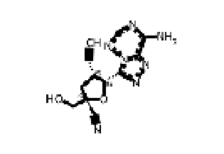 C#C[C@H]1C[C@@](C#N)(CO)O[C@H]1c1nnc2c(N)ncnn12